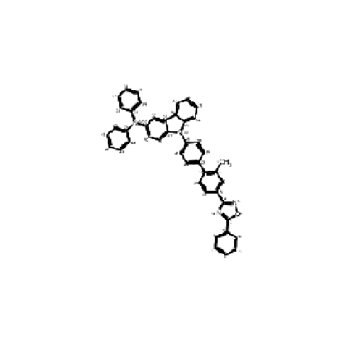 Cc1cc(-c2noc(-c3ccccc3)n2)ccc1-c1ccc(-n2c3ccccc3c3cc(N(c4ccccc4)c4ccccc4)ccc32)cc1